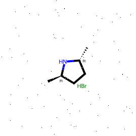 Br.C[C@@H]1CC[C@@H](C)N1